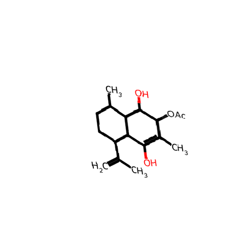 C=C(C)C1CCC(C)C2C(O)C(OC(C)=O)C(C)=C(O)C12